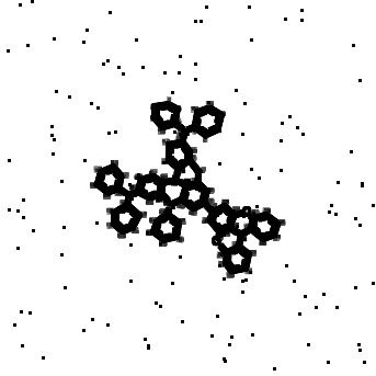 c1ccc(N(c2ccccc2)c2ccc3c(c2)Cc2cc(-c4cc5c6c(c4)Oc4ccccc4B6c4ccccc4O5)cc4c2B3c2ccc(N(c3ccccc3)c3ccccc3)cc2N4c2ccccc2)cc1